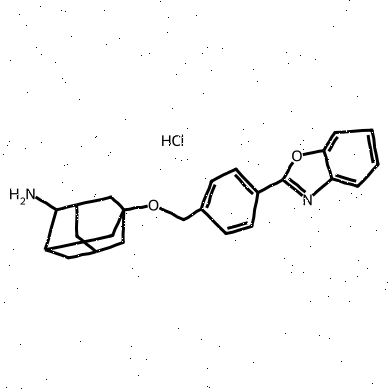 Cl.NC1C2CC3CC1CC(OCc1ccc(-c4nc5ccccc5o4)cc1)(C3)C2